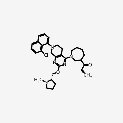 C=CC(=O)C1CCCCN(c2nc(OC[C@@H]3CCCN3C)nc3c2CCN(c2cccc4cccc(Cl)c24)C3)C1